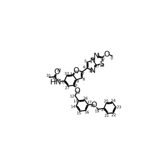 COc1nn2cc(-c3cc4c(OCc5cccc(OCc6ccccc6)c5)cc(NC(C)=O)cc4o3)nc2s1